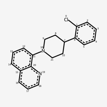 Clc1ccccc1C1CCN(c2cccc3cccnc23)CC1